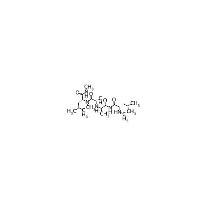 CNC(=O)[C@@H](CC(C)C)N(C)C(=O)[C@H](C)N[C@H](C)C(=O)NC(=O)[C@H](CC(C)C)NC